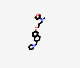 CN(CCCOc1ccc2c(c1)CCC(CN1CCCC1)C2)c1ccoc1